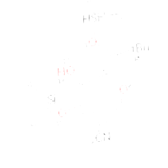 C[SiH](C)OC(C1OCC(C#N)C(O[Si](C)(C)C)C1O)C(C)(C)C